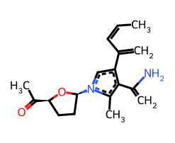 C=C(/C=C\C)c1cn([C@H]2CC[C@@H](C(C)=O)O2)c(C)c1C(=C)N